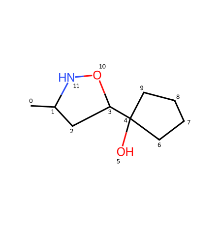 CC1CC(C2(O)CCCC2)ON1